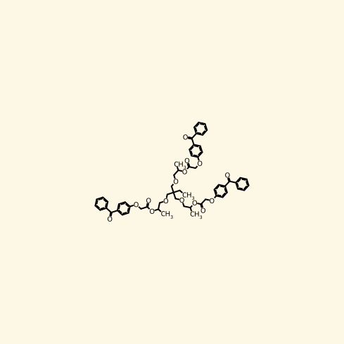 CCC(COCC(C)OC(=O)COc1ccc(C(=O)c2ccccc2)cc1)(COCC(C)OC(=O)COc1ccc(C(=O)c2ccccc2)cc1)COCC(C)OC(=O)COc1ccc(C(=O)c2ccccc2)cc1